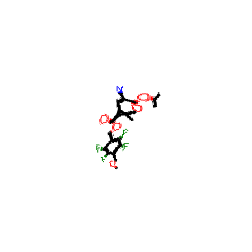 COCc1c(F)c(F)c(COC(=O)C2C(C=C(C#N)C(=O)OC(C)C)C2(C)C)c(F)c1F